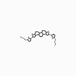 CCCCc1ccc(-c2cc3c(ccc4c3ccc3c5cc(-c6ccc(CCCC)s6)sc5ccc34)s2)s1